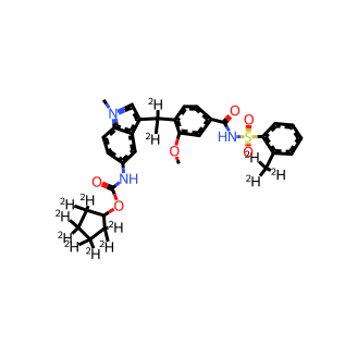 [2H]C([2H])([2H])c1ccccc1S(=O)(=O)NC(=O)c1ccc(C([2H])([2H])c2cn(C)c3ccc(NC(=O)OC4C([2H])([2H])C([2H])([2H])C([2H])([2H])C4([2H])[2H])cc23)c(OC)c1